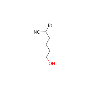 CCC(C#N)CCCCO